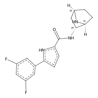 O=C(N[C@@H]1C[C@H]2CC[C@@H]1N2)c1ccc(-c2cc(F)cc(F)c2)[nH]1